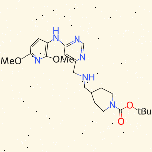 COc1ccc(Nc2cc(CNCC3CCN(C(=O)OC(C)(C)C)CC3)ncn2)c(OC)n1